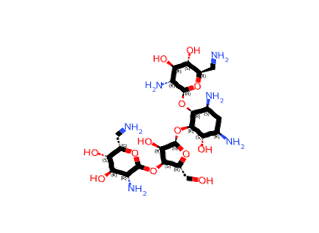 NC[C@@H]1OC(O[C@H]2[C@@H](O)[C@H](O[C@@H]3[C@@H](O)[C@H](N)C[C@H](N)[C@H]3O[C@H]3O[C@H](CN)[C@@H](O)[C@H](O)[C@H]3N)O[C@@H]2CO)[C@H](N)[C@@H](O)[C@@H]1O